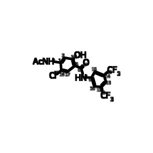 CC(=O)Nc1cc(O)c(C(=O)Nc2cc(C(F)(F)F)cc(C(F)(F)F)c2)cc1Cl